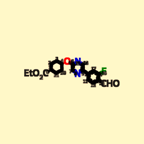 CCOC(=O)[C@H]1CC[C@H](Oc2cnc(-c3ccc(C=O)c(F)c3)cn2)CC1